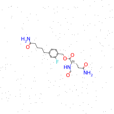 NC(=O)CCCCc1ccc(COC(=O)[C@H](CCC(N)=O)NC=O)c(F)c1